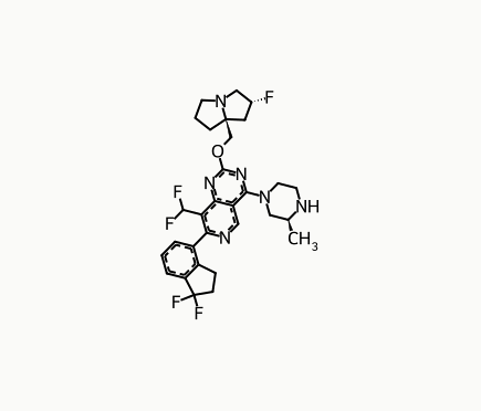 C[C@H]1CN(c2nc(OC[C@@]34CCCN3C[C@H](F)C4)nc3c(C(F)F)c(-c4cccc5c4CCC5(F)F)ncc23)CCN1